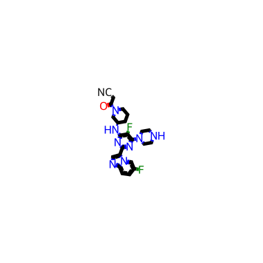 N#CCC(=O)N1CCC[C@@H](Nc2nc(-c3cnc4ccc(F)cn34)nc(N3CCNCC3)c2F)C1